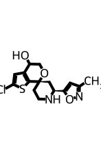 Cc1cc([C@@H]2C[C@]3(CCN2)OCC(O)c2cc(Cl)sc23)on1